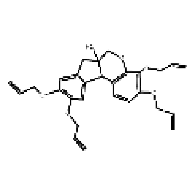 C=CCOc1cc2c(cc1OCC=C)C1c3ccc(OCC=C)c(OCC=C)c3OCC1(O)C2